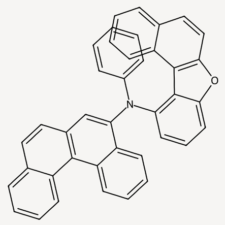 c1ccc(N(c2cc3ccc4ccccc4c3c3ccccc23)c2cccc3oc4ccc5ccccc5c4c23)cc1